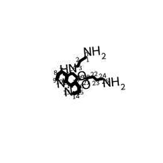 NCCCNC1c2cccnc2-c2ncccc2C1OC(=O)CCCN